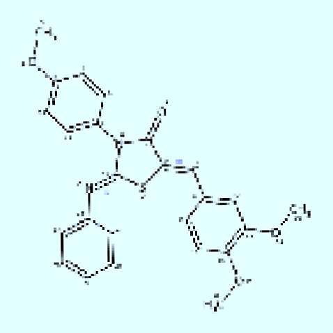 COc1ccc(N2C(=O)/C(=C/c3ccc(OC)c(OC)c3)S/C2=N\c2ccccc2)cc1